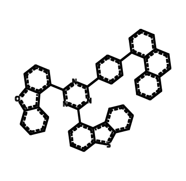 c1ccc2c(c1)ccc1cccc(-c3ccc(-c4nc(-c5cccc6oc7ccccc7c56)nc(-c5cccc6sc7ccccc7c56)n4)cc3)c12